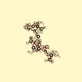 COc1ccc([C@H](Cc2c(Cl)c[n+]([O-])cc2Cl)c2cc(CN(C(=O)O[C@H]3CN4CCC3CC4)c3cccc(OC(=O)c4sc(CN(C(=O)O[C@H]5CN6CCC5CC6)c5ccccc5CO)cc4[C@@H](Cc4c(Cl)c[n+]([O-])cc4Cl)c4ccc(OC)c(OC)c4)c3C)sc2C(=O)Oc2cc(F)cc(N(Cc3ccc(C(=O)O[C@@H](Cc4c(Cl)c[n+]([O-])cc4Cl)c4ccc(OC)c(OC)c4)s3)C(=O)O[C@H]3CN4CCC3CC4)c2)cc1OC